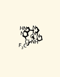 O=C(NCCC(F)(F)F)[C@H]1CCCN1c1ccnc(-c2c[nH]c3ncc(Cl)cc23)n1